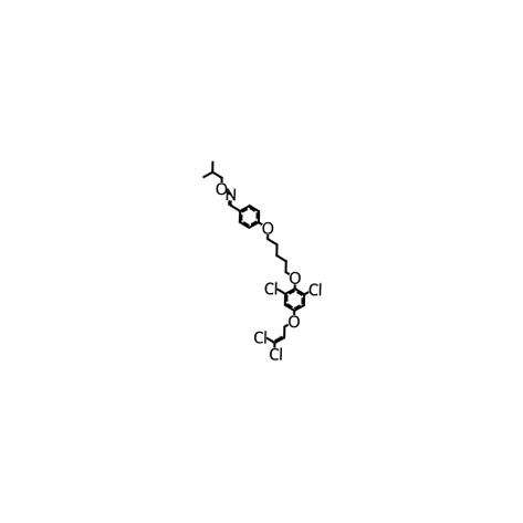 CC(C)CON=Cc1ccc(OCCCCCOc2c(Cl)cc(OCC=C(Cl)Cl)cc2Cl)cc1